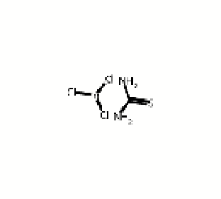 NC(N)=S.[Cl][In]([Cl])[Cl]